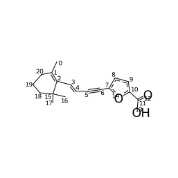 CC1=C(C=CC#Cc2ccc(C(=O)O)o2)C(C)(C)CCC1